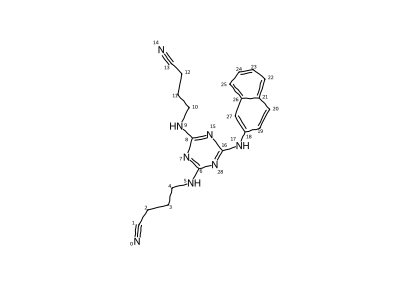 N#CCCCNc1nc(NCCCC#N)nc(Nc2ccc3ccccc3c2)n1